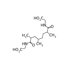 CC(CCC(C)C(=O)NCC(=O)O)CC(C)C(=O)NCC(=O)O